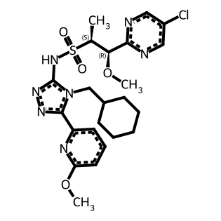 COc1cccc(-c2nnc(NS(=O)(=O)[C@@H](C)[C@H](OC)c3ncc(Cl)cn3)n2CC2CCCCC2)n1